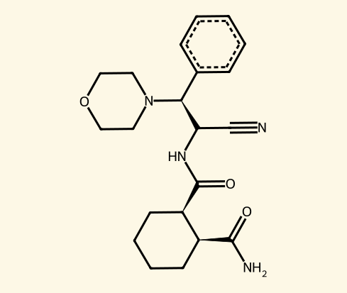 N#CC(NC(=O)[C@@H]1CCCC[C@@H]1C(N)=O)[C@H](c1ccccc1)N1CCOCC1